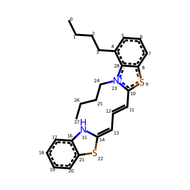 CCCCc1cccc2sc(C=CC=C3Nc4ccccc4S3)[n+](CCCC)c12